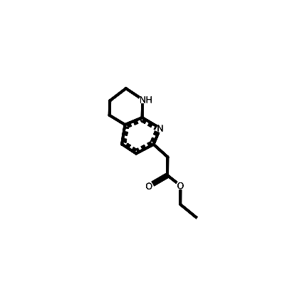 CCOC(=O)Cc1ccc2c(n1)NCCC2